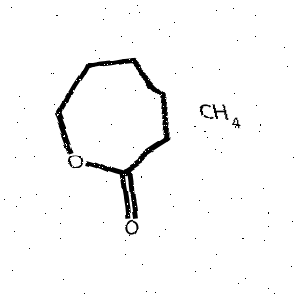 C.O=C1CCCCCO1